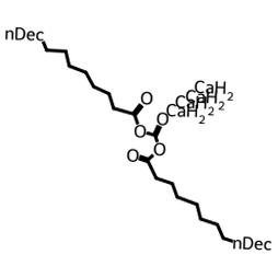 CCCCCCCCCCCCCCCCCC(=O)OC(=O)OC(=O)CCCCCCCCCCCCCCCCC.[CaH2].[CaH2].[CaH2].[CaH2]